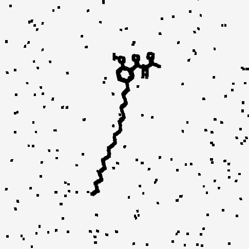 CCCCCCCCCCCCCCCCCCc1ccc(OI)c(C(=O)NC(C)=O)c1